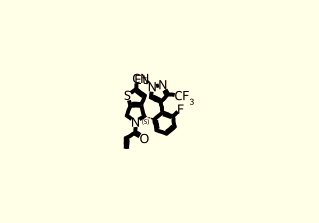 C=CC(=O)N1Cc2sc(C#N)cc2[C@@H]1c1cccc(F)c1-c1cn(CC)nc1C(F)(F)F